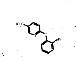 CC(C)c1ccccc1Oc1ccc(C(=O)O)cn1